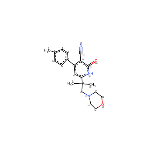 Cc1ccc(-c2cc(C(C)(C)CN3CCOCC3)[nH]c(=O)c2C#N)cc1